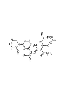 NC(=O)[C@@H](C(=O)Nc1ccc(N2CCOCC2=O)cc1OC(F)F)N(CC(F)F)CC1CC1